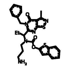 CCC(c1nc2snc(C)c2c(=O)n1Cc1ccccc1)N(CCCN)C(=O)Oc1cc2ccccc2s1